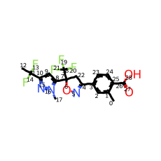 Cc1cc(C2=NOC(c3cc(C(C)(F)F)nn3C)(C(F)(F)F)C2)ccc1C(=O)O